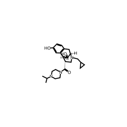 CC(C)N1CCN(C(=O)[C@@H]2C[C@]34CCN(CC5CC5)[C@H](Cc5ccc(O)cc53)[C@]4(O)C2)CC1